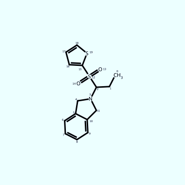 CCC(N1Cc2ccccc2C1)S(=O)(=O)c1cccs1